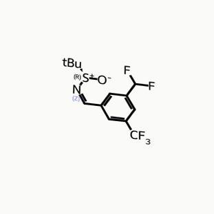 CC(C)(C)[S@+]([O-])/N=C\c1cc(C(F)F)cc(C(F)(F)F)c1